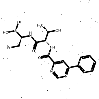 CC(C)C[C@H](NC(=O)[C@@H](NC(=O)c1cc(-c2ccccc2)ncn1)[C@@H](C)O)B(O)O